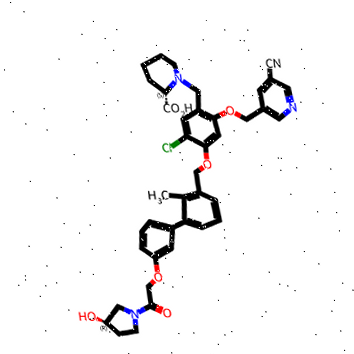 Cc1c(COc2cc(OCc3cncc(C#N)c3)c(CN3CCCC[C@H]3C(=O)O)cc2Cl)cccc1-c1cccc(OCC(=O)N2CC[C@@H](O)C2)c1